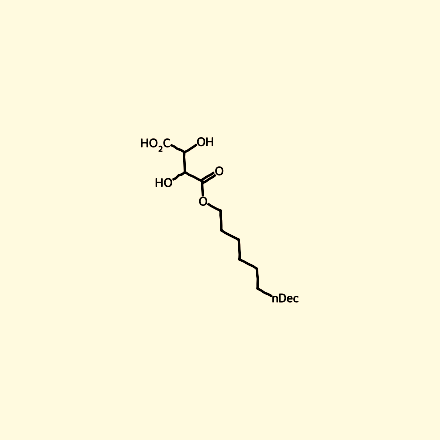 CCCCCCCCCCCCCCCCOC(=O)C(O)C(O)C(=O)O